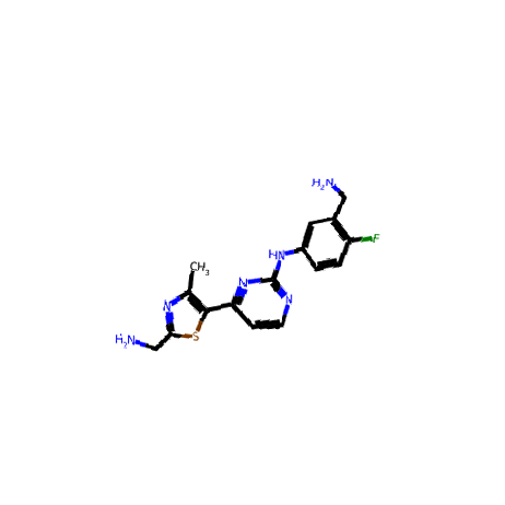 Cc1nc(CN)sc1-c1ccnc(Nc2ccc(F)c(CN)c2)n1